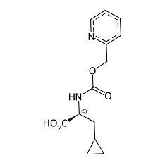 O=C(N[C@@H](CC1CC1)C(=O)O)OCc1ccccn1